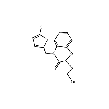 O=C1C(CCO)Oc2ccccc2N1Cc1ccc(Cl)s1